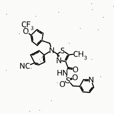 Cc1sc(N(Cc2ccc(OC(F)(F)F)cc2)c2ccc(C#N)cc2)nc1C(=O)NS(=O)(=O)Cc1cccnc1